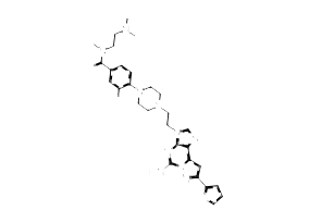 CN(C)CCN(C)C(=O)c1ccc(N2CCN(CCn3cnc4c3nc(N)n3nc(-c5ccco5)cc43)CC2)c(F)c1